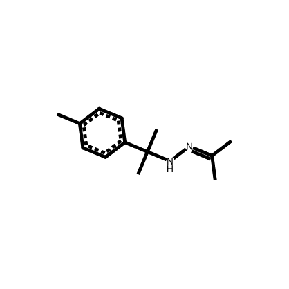 CC(C)=NNC(C)(C)c1ccc(C)cc1